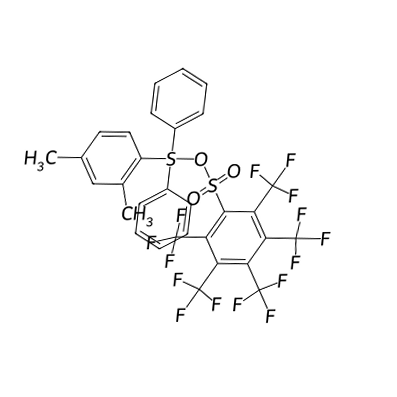 Cc1ccc(S(OS(=O)(=O)c2c(C(F)(F)F)c(C(F)(F)F)c(C(F)(F)F)c(C(F)(F)F)c2C(F)(F)F)(c2ccccc2)c2ccccc2)c(C)c1